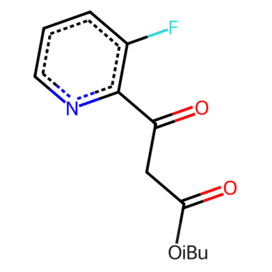 CC(C)COC(=O)CC(=O)c1ncccc1F